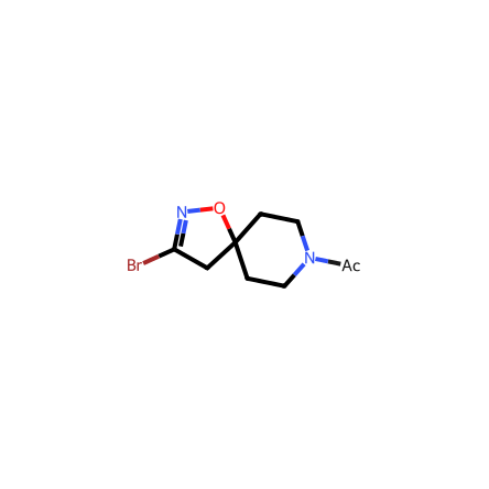 CC(=O)N1CCC2(CC1)CC(Br)=NO2